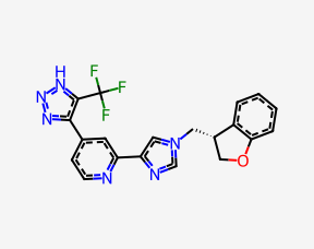 FC(F)(F)c1[nH]nnc1-c1ccnc(-c2cn(C[C@H]3COc4ccccc43)cn2)c1